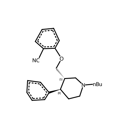 CCCCN1CC[C@@H](c2ccccc2)[C@H](COc2ccccc2C#N)C1